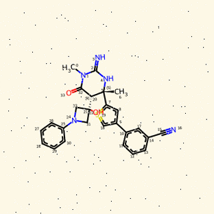 CN1C(=N)N[C@](C)(c2cc(-c3cccc(C#N)c3)cs2)[C@H](C2(O)CN(c3ccccc3)C2)C1=O